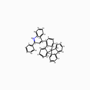 c1ccc(-c2cc(-c3cccc4c3-c3ccccc3C43c4ccccc4-c4ccccc43)c3ccccc3n2)cc1